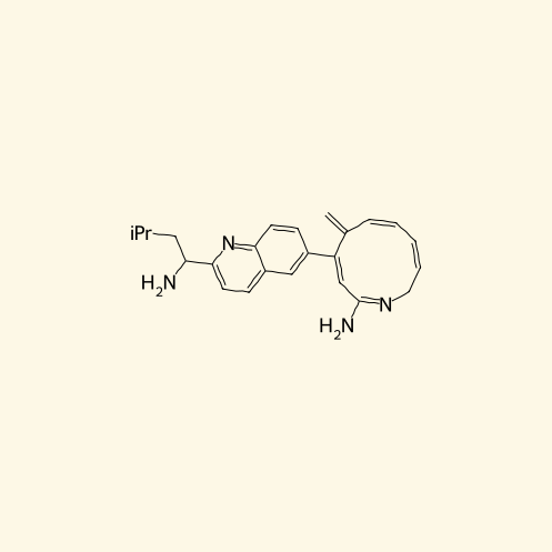 C=C1/C=C\C=C/C/N=C(N)\C=C/1c1ccc2nc(C(N)CC(C)C)ccc2c1